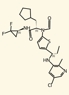 CC[C@H](Nc1cc(Cl)cnc1C)c1ccc(N(C=O)[C@@H](CC2CCCC2)C(=O)N[C@H]2CC2(F)F)s1